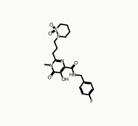 Cn1c(CCCN2CCCCS2(=O)=O)nc(C(=O)NCc2ccc(F)cc2)c(O)c1=O